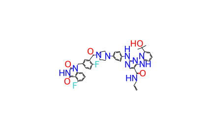 C=CCNC(=O)c1cnc(Nc2ccc(N3CCN(C(=O)c4cc(Cn5c(=O)[nH]c(=O)c6c(F)cccc65)ccc4F)CC3)cc2)nc1Nc1cccc(C(C)(C)O)n1